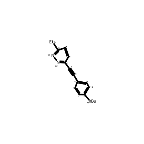 CCCCc1ccc(C#Cc2ccc(CC)nn2)cc1